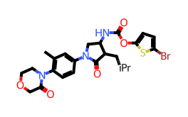 Cc1cc(N2CC(NC(=O)Oc3ccc(Br)s3)C(CC(C)C)C2=O)ccc1N1CCOCC1=O